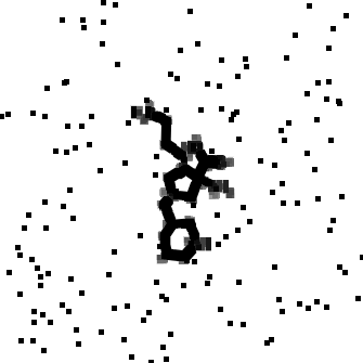 BCCC[C@H]1CN(CC2CCCNC2)C[C@@]1(N)C(=O)O